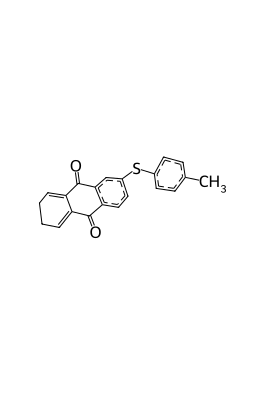 Cc1ccc(Sc2ccc3c(c2)C(=O)C2=CCCC=C2C3=O)cc1